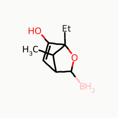 BC1OC2(CC)C(O)=CC1C2C